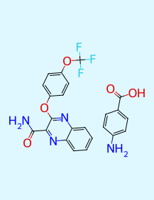 NC(=O)c1nc2ccccc2nc1Oc1ccc(OC(F)(F)F)cc1.Nc1ccc(C(=O)O)cc1